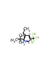 CCc1cc(C(F)(F)F)cnc1C(C)(C)C